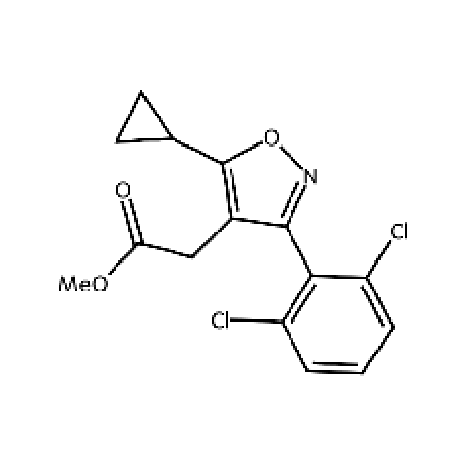 COC(=O)Cc1c(-c2c(Cl)cccc2Cl)noc1C1CC1